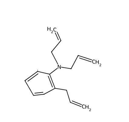 C=CCc1ccc[c]c1N(CC=C)CC=C